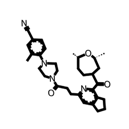 Cc1cc(C#N)ccc1N1CCN(C(=O)CCc2cc3c(c(C(=O)C4CC[C@H](C)O[C@H](C)C4)n2)CCC3)CC1